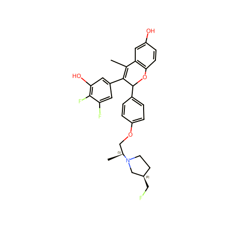 CC1=C(c2cc(O)c(F)c(F)c2)C(c2ccc(OC[C@H](C)N3CC[C@@H](CF)C3)cc2)Oc2ccc(O)cc21